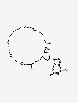 C[C@@]12COC(=O)CCCCCCCCCCCCCCCCCCC(=O)O[C@H]1C[C@H](n1cnc3c(N)nc(F)nc31)O2